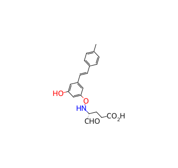 Cc1ccc(/C=C/c2cc(O)cc(ON[C@@H](C=O)CCC(=O)O)c2)cc1